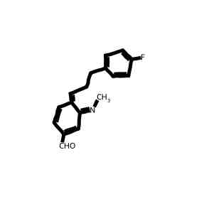 C/N=C1/C=C(C=O)C=C/C1=C/CCc1ccc(F)cc1